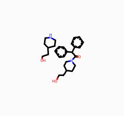 O=C(C(c1ccccc1)c1ccccc1)N1CCC(CCO)CC1.OCCC1CCNCC1